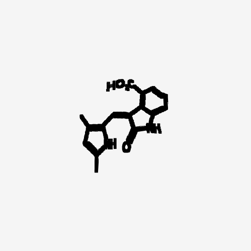 Cc1cc(C)c(C=C2C(=O)Nc3cccc(C(=O)O)c32)[nH]1